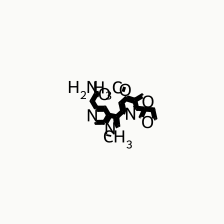 COc1cc(-c2cn(C)c3cnc(CC(N)=O)cc23)nc2c1COC21CCOC1